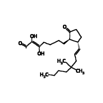 CCCCC(C)(C)C/C=C/[C@H]1CCC(=O)[C@@H]1CCCC/C(O)=C(\O)[C]=O